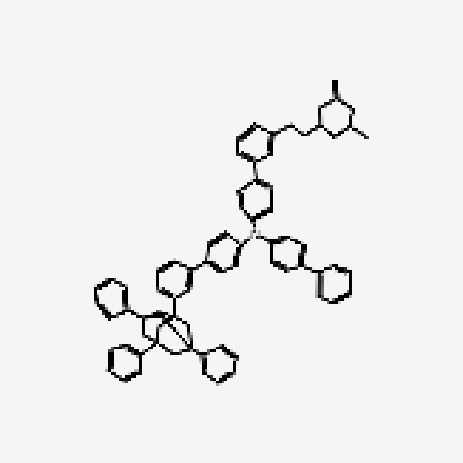 C=C1CC(C)CC(CCc2cccc(-c3ccc(N(c4ccc(-c5ccccc5)cc4)c4ccc(-c5cccc(C67CC8(c9ccccc9)CC(c9ccccc9)(CC(c9ccccc9)(C8)C6)C7)c5)cc4)cc3)c2)C1